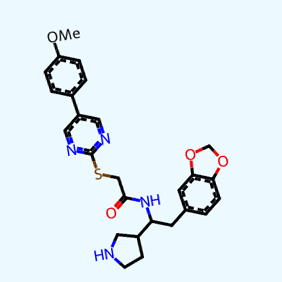 COc1ccc(-c2cnc(SCC(=O)NC(Cc3ccc4c(c3)OCO4)C3CCNC3)nc2)cc1